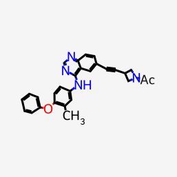 CC(=O)N1CC(C#Cc2ccc3ncnc(Nc4ccc(Oc5ccccc5)c(C)c4)c3c2)C1